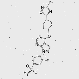 CC(C)c1noc(C2CCC(Oc3ncnc4c3cnn4-c3ccc(S(C)(=O)=O)cc3F)CC2)n1